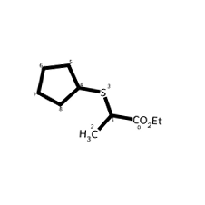 CCOC(=O)C(C)SC1CCCC1